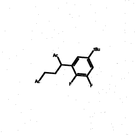 CC(=O)CCC(C(C)=O)c1cc(C(C)(C)C)cc(F)c1F